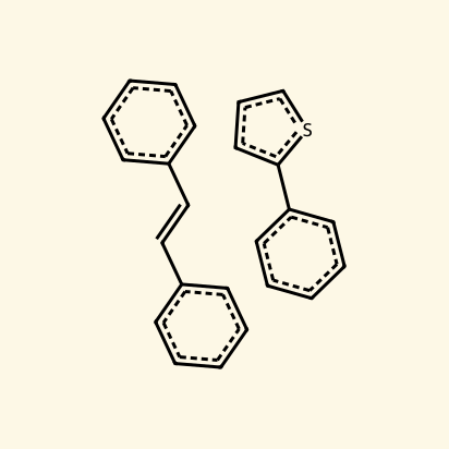 C(=Cc1ccccc1)c1ccccc1.c1ccc(-c2cccs2)cc1